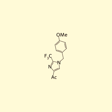 [CH2]C(=O)c1cn(Cc2ccc(OC)cc2)c(C(F)(F)F)n1